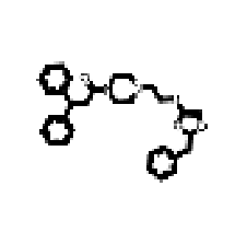 O=C(CC(c1ccccc1)c1ccccc1)N1CCN(CCOC2=COC(Cc3ccccc3)O2)CC1